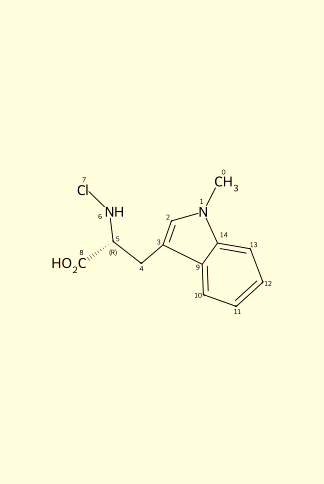 Cn1cc(C[C@@H](NCl)C(=O)O)c2ccccc21